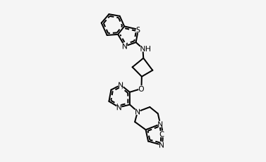 c1ccc2sc(NC3CC(Oc4nccnc4N4CCn5cncc5C4)C3)nc2c1